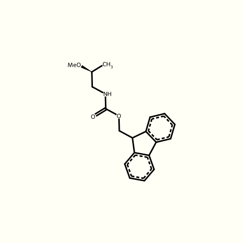 CO[C@@H](C)CNC(=O)OCC1c2ccccc2-c2ccccc21